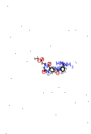 CCOC(=O)CCN1CC(=O)N(C)c2ccc(NC(=O)c3cccc(C(=N)N)c3)cc2C1=O